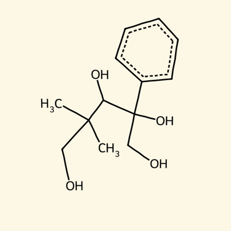 CC(C)(CO)C(O)C(O)(CO)c1ccccc1